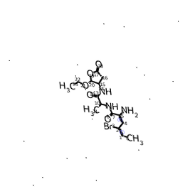 C/C=C(Br)\C=C(\N)C(=O)NC(C)C(=O)NC1CC(=O)OC1OCC